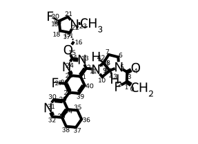 C=C(F)C(=O)N1CC[C@@H]2[C@H]1CN2c1nc(OC[C@@H]2C[C@@H](F)CN2C)nc2c(F)c(-c3cncc4c3CCCC4)ccc12